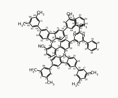 Cc1cc(C)cc(-c2ccc3c(c2)c2cc(-c4cc(C)cc(C)c4)ccc2n3-c2cc(-c3nc(-c4ccccc4)nc(-c4ccccc4)n3)ccc2-c2cccc(C#N)c2-n2c3ccc(-c4cc(C)cc(C)c4)cc3c3cc(-c4cc(C)cc(C)c4)ccc32)c1